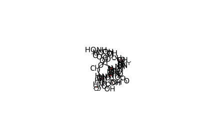 CN[C@H](CC(C)C)C(=O)N[C@H]1C(=O)N[C@@H](CC(=O)NS(=O)(=O)c2ccc(OC)cc2)C(=O)N[C@H]2C(=O)N[C@H]3C(=O)N[C@H](C(=O)N[C@H](C(=O)NC4C5CC6CC(C5)CC4C6)c4cc(O)cc(O)c4-c4cc3ccc4O)[C@H](O)c3ccc(c(Cl)c3)Oc3cc2cc(c3O[C@@H]2O[C@H](CO)[C@@H](O)[C@H](O)[C@H]2O[C@H]2C[C@](C)(N)[C@H](O)[C@H](C)O2)Oc2ccc(cc2Cl)[C@H]1O